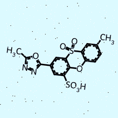 Cc1ccc2c(c1)S(=O)(=O)c1cc(-c3nnc(C)o3)cc(S(=O)(=O)O)c1O2